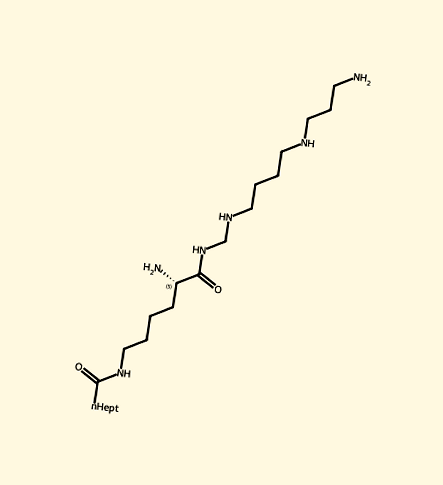 CCCCCCCC(=O)NCCCC[C@H](N)C(=O)NCNCCCCNCCCN